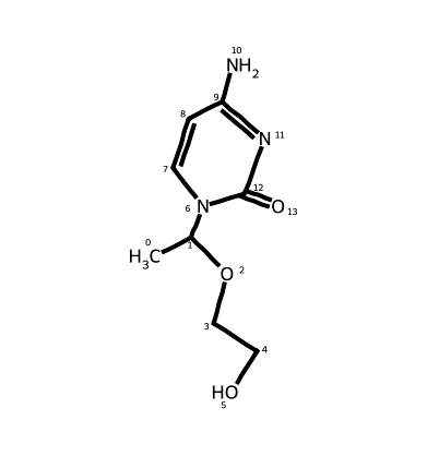 CC(OCCO)n1ccc(N)nc1=O